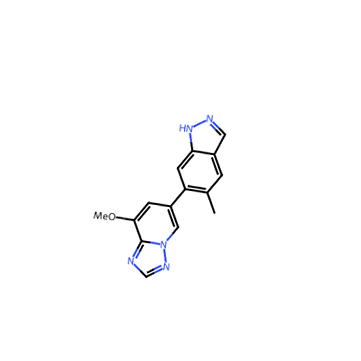 COc1cc(-c2cc3[nH]ncc3cc2C)cn2ncnc12